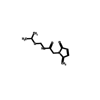 C=C1C=CC(=O)N1CC(=O)NCOC(C)C